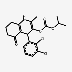 CC1=C(OC(=O)OC(C)C)C(c2cccc(Cl)c2Cl)C2=C(CCCC2=O)N1